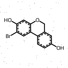 Oc1ccc2c(c1)COc1cc(O)c(Br)cc1-2